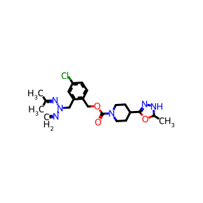 C=NN(Cc1cc(Cl)ccc1COC(=O)N1CCC(C2=NNC(C)O2)CC1)N=C(C)C